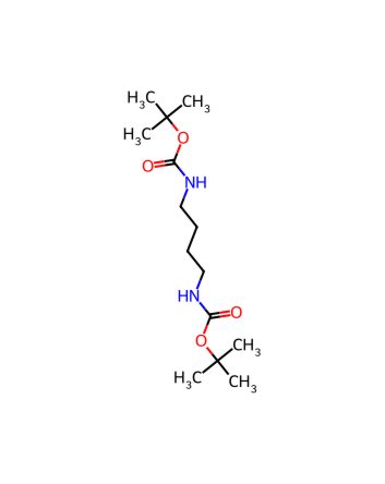 CC(C)(C)OC(=O)NCCCCNC(=O)OC(C)(C)C